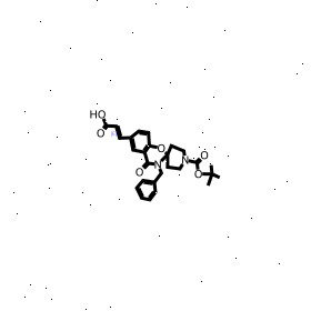 CC(C)(C)OC(=O)N1CCC2(CC1)Oc1ccc(/C=C/C(=O)O)cc1C(=O)N2Cc1ccccc1